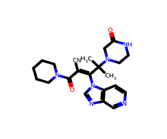 CC(C)(C(=C(C#N)C(=O)N1CCCCC1)n1cnc2cnccc21)N1CCNC(=O)C1